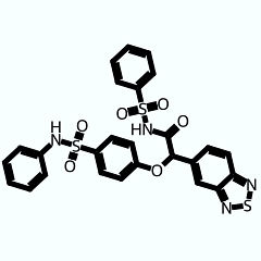 O=C(NS(=O)(=O)c1ccccc1)C(Oc1ccc(S(=O)(=O)Nc2ccccc2)cc1)c1ccc2nsnc2c1